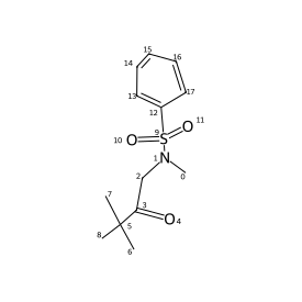 CN(CC(=O)C(C)(C)C)S(=O)(=O)c1ccccc1